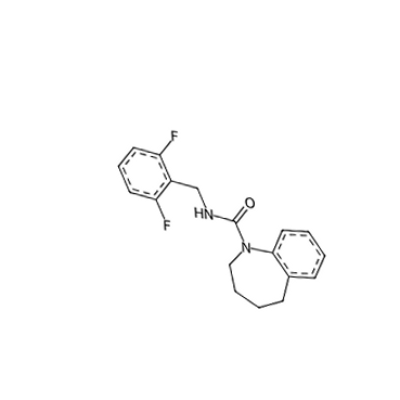 O=C(NCc1c(F)cccc1F)N1CCCCc2ccccc21